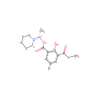 CCC(=O)c1cc(Br)cc(C(=O)O[C@@H](C)N2CCCCC2)c1O